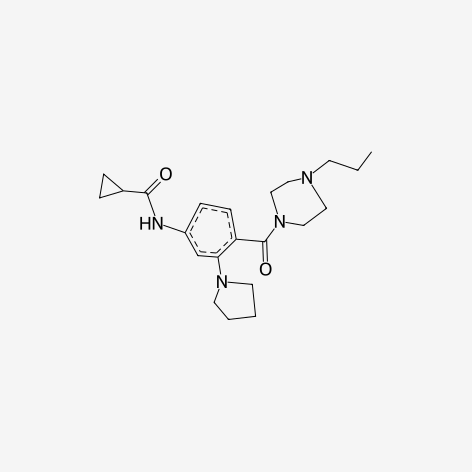 CCCN1CCN(C(=O)c2ccc(NC(=O)C3CC3)cc2N2CCCC2)CC1